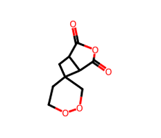 O=C1OC(=O)C2C1CC21CCOOC1